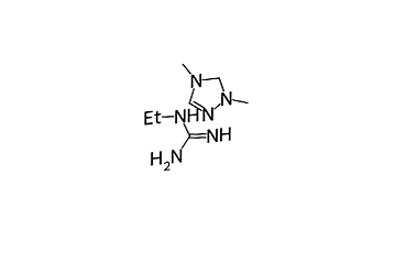 CCNC(=N)N.CN1C=NN(C)C1